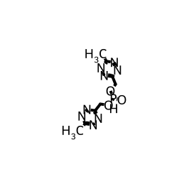 Cc1nnc(CO[PH](=O)OCc2nnc(C)nn2)nn1